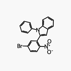 O=[N+]([O-])c1ccc(Br)cc1-c1cc2ccccc2n1-c1ccccc1